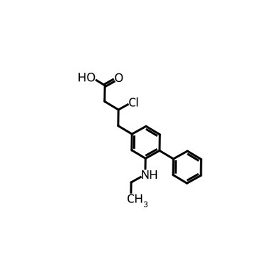 CCNc1cc(CC(Cl)CC(=O)O)ccc1-c1ccccc1